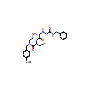 COCCN(Cc1ccc(OC)cc1)C(=O)[C@H](CC(C)C)NC(=O)CN(C)NC(=O)NCc1ccccc1